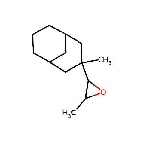 CC1OC1C1(C)CC2CCCC(C2)C1